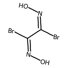 O/N=C(Br)\C(Br)=N/O